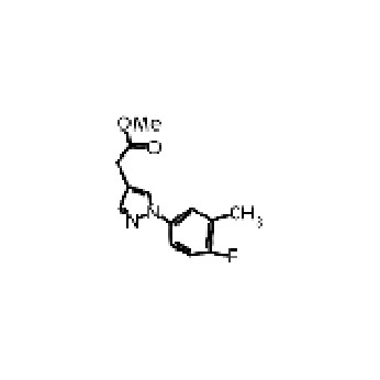 COC(=O)Cc1cnn(-c2ccc(F)c(C)c2)c1